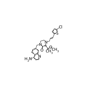 CO[C@H](C)[C@H]1C(=O)N(Cc2ccc3c(N)ccnc3c2)CCN1CC=Cc1ccc(Cl)s1